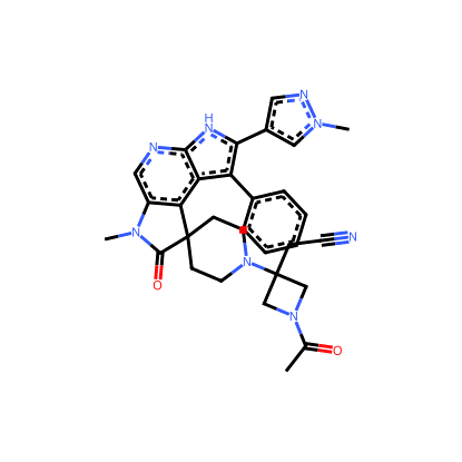 CC(=O)N1CC(CC#N)(N2CCC3(CC2)C(=O)N(C)c2cnc4[nH]c(-c5cnn(C)c5)c(-c5ccccc5)c4c23)C1